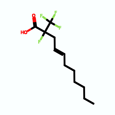 CCCCCCC=CCC(F)(C(=O)O)C(F)(F)F